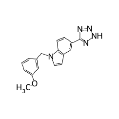 COc1cccc(Cn2ccc3cc(-c4nn[nH]n4)ccc32)c1